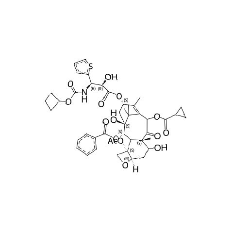 CC(=O)O[C@@]12CO[C@@H]1CC(O)[C@@]1(C)C(=O)C(OC(=O)C3CC3)C3=C(C)[C@@H](OC(=O)[C@H](O)[C@@H](NC(=O)OC4CCC4)c4cccs4)C[C@@](O)([C@@H](OC(=O)c4ccccc4)C12)C3(C)C